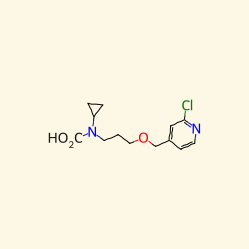 O=C(O)N(CCCOCc1ccnc(Cl)c1)C1CC1